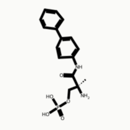 C[C@](N)(COP(=O)(O)O)C(=O)Nc1ccc(-c2ccccc2)cc1